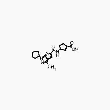 Cc1nn(C2CCCCC2)c2sc(C(=O)N[C@@H]3CC[C@@H](C(=O)O)C3)cc12